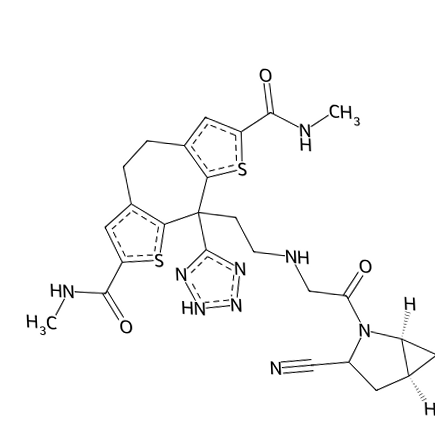 CNC(=O)c1cc2c(s1)C(CCNCC(=O)N1C(C#N)C[C@@H]3C[C@@H]31)(c1nn[nH]n1)c1sc(C(=O)NC)cc1CC2